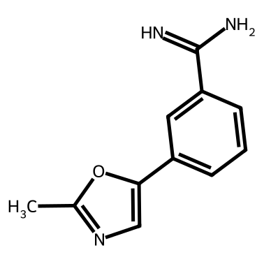 Cc1ncc(-c2cccc(C(=N)N)c2)o1